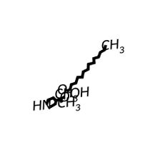 CCCCCCCCCCCCCC(O)C(=O)OC(C)(C)C1CCNCC1